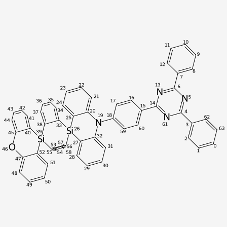 c1ccc(-c2nc(-c3ccccc3)nc(-c3ccc(N4c5ccccc5[Si]5(c6ccccc64)c4ccccc4[Si]4(c6ccccc6Oc6ccccc64)c4ccccc45)cc3)n2)cc1